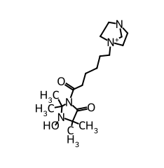 CC1(C)C(=O)N(C(=O)CCCCC[N+]23CCN(CC2)C3)C(C)(C)N1O